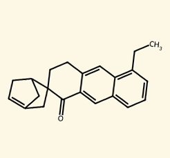 CCc1cccc2cc3c(cc12)CCC1(CC2=CCC1C2)C3=O